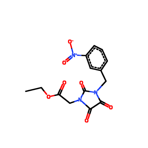 CCOC(=O)CN1C(=O)C(=O)N(Cc2cccc([N+](=O)[O-])c2)C1=O